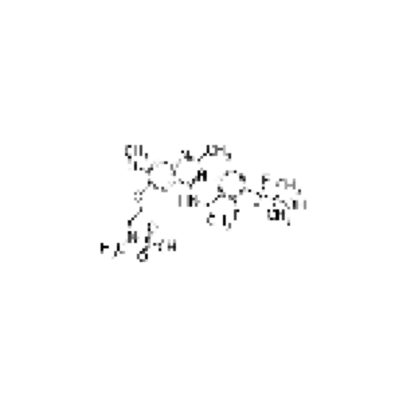 COc1cc2nc(C)nc(NC(C)c3cccc(C(F)(F)C(C)(C)O)c3F)c2cc1OCCN(C)S(C)(=O)=O